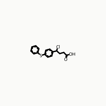 O=C(O)CCC(Cl)c1ccc(Sc2ccccc2)cc1